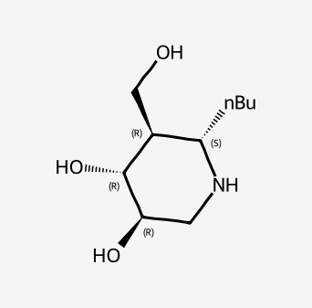 CCCC[C@@H]1NC[C@@H](O)[C@H](O)[C@H]1CO